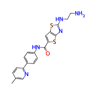 Cc1ccc(-c2ccc(NC(=O)c3cc4sc(NCCN)nc4s3)cc2)nc1